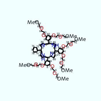 COCCOCCOc1cc(OCCOCCOC)cc(-c2c3nc(c(-c4cc(OCCOCCOC)cc(OCCOCCOC)c4)c4ccc([nH]4)c(-c4cc(OCCOCCOC)cc(OCCOCCOC)c4)c4nc(c(-c5ccccc5)c5ccc2[nH]5)C=C4)C=C3)c1